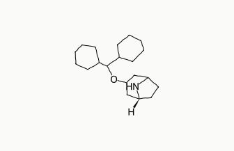 C1CCC(C(OC2CC3CC[C@H](C2)N3)C2CCCCC2)CC1